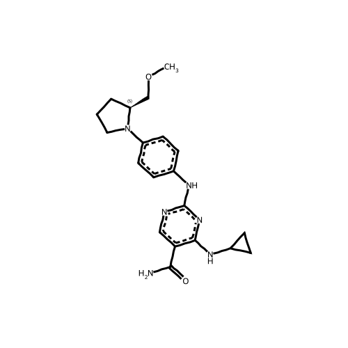 COC[C@@H]1CCCN1c1ccc(Nc2ncc(C(N)=O)c(NC3CC3)n2)cc1